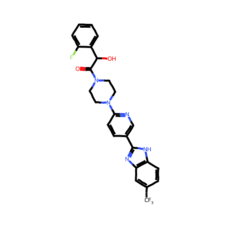 O=C(C(O)c1ccccc1F)N1CCN(c2ccc(-c3nc4cc(C(F)(F)F)ccc4[nH]3)cn2)CC1